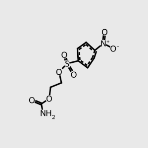 NC(=O)OCCOS(=O)(=O)c1ccc([N+](=O)[O-])cc1